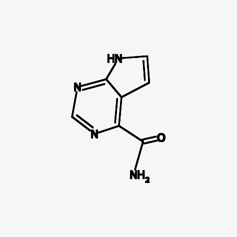 NC(=O)c1ncnc2[nH]ccc12